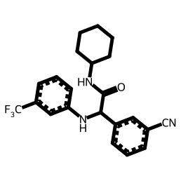 N#Cc1cccc(C(Nc2cccc(C(F)(F)F)c2)C(=O)NC2CCCCC2)c1